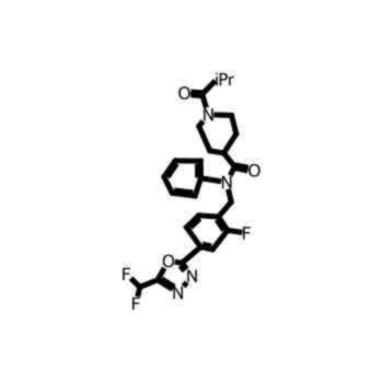 CC(C)C(=O)N1CCC(C(=O)N(Cc2ccc(-c3nnc(C(F)F)o3)cc2F)c2ccccc2)CC1